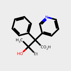 CCC(C)(O)C(C(=O)O)(c1ccccc1)c1cccnc1